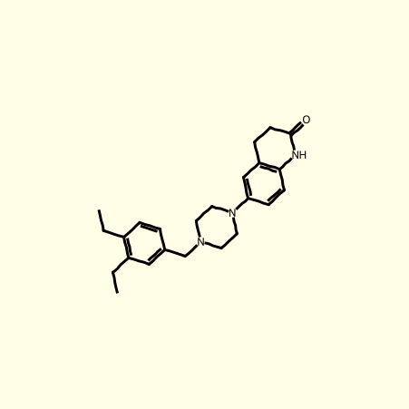 CCc1ccc(CN2CCN(c3ccc4c(c3)CCC(=O)N4)CC2)cc1CC